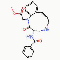 COC(=O)CN1C(=O)[C@@H](NC(=O)c2ccccc2)CNCC=Cc2ccccc21